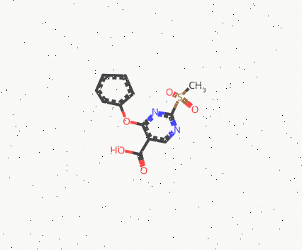 CS(=O)(=O)c1ncc(C(=O)O)c(Oc2ccccc2)n1